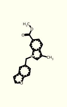 COC(=O)c1ccc2c(C)cn(Cc3ccc4occc4c3)c2c1